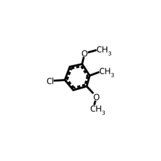 COc1cc(Cl)cc(OC)c1C